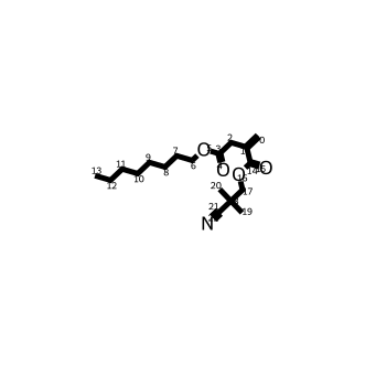 C=C(CC(=O)OCCCCCCCC)C(=O)OCC(C)(C)C#N